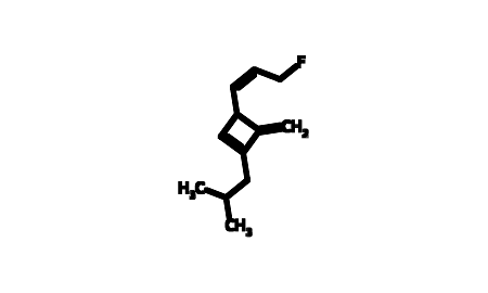 C=C1C(CC(C)C)=CC1/C=C\CF